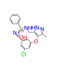 Cc1n[nH]c(CN[C@@H](CO)c2ccccc2)c1Oc1cc(Cl)cc(C#N)c1